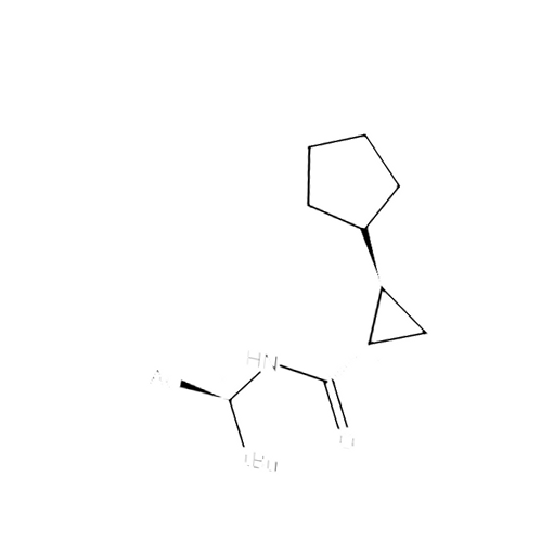 CC(=O)[C@@H](NC(=O)[C@H]1C[C@@H]1C1CCCC1)C(C)(C)C